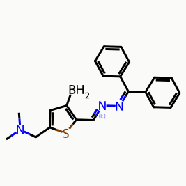 Bc1cc(CN(C)C)sc1/C=N/N=C(c1ccccc1)c1ccccc1